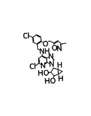 Cc1cc(COc2ccc(Cl)cc2CNc2cc(Cl)nc3c2ncn3[C@H]2[C@H](O)[C@H](O)[C@@H]3C[C@@H]32)on1